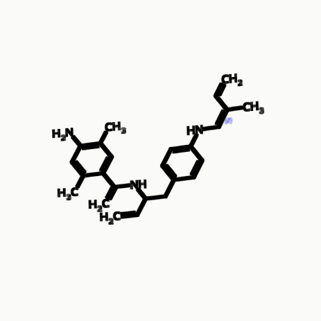 C=C/C(C)=C\Nc1ccc(CC(C=C)NC(=C)c2cc(C)c(N)cc2C)cc1